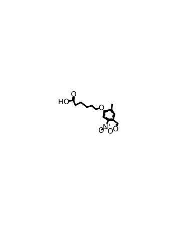 Cc1cc(C=O)c([N+](=O)[O-])cc1OCCCCCC(=O)O